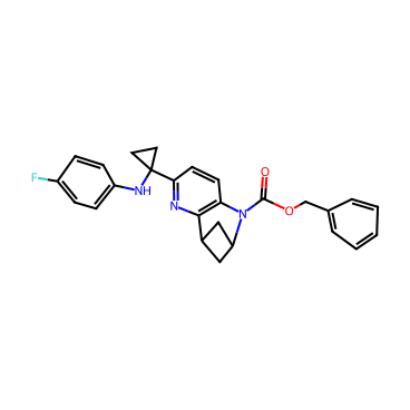 O=C(OCc1ccccc1)N1c2ccc(C3(Nc4ccc(F)cc4)CC3)nc2C2CC1C2